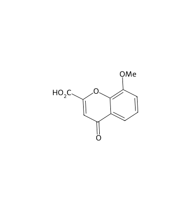 COc1cccc2c(=O)cc(C(=O)O)oc12